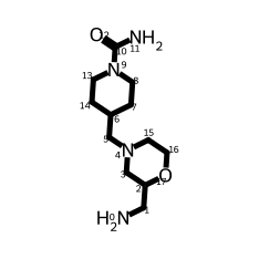 NCC1CN(CC2CCN(C(N)=O)CC2)CCO1